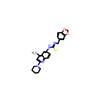 Cc1cc(N2CCCCC2)nc2ccc(N/C(S)=N/Cc3ccc4c(c3)OCO4)cc12